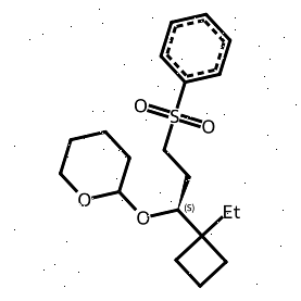 CCC1([C@H](CCS(=O)(=O)c2ccccc2)OC2CCCCO2)CCC1